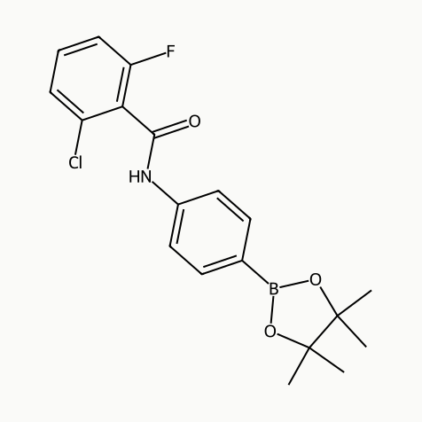 CC1(C)OB(c2ccc(NC(=O)c3c(F)cccc3Cl)cc2)OC1(C)C